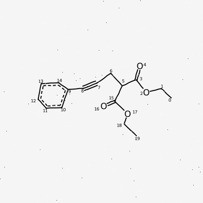 CCOC(=O)C(CC#Cc1ccccc1)C(=O)OCC